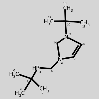 CC(C)(C)PCN1C=CN(C(C)(C)C)C1